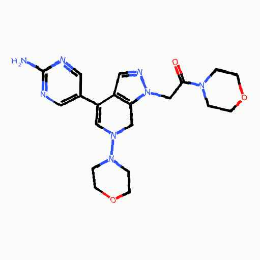 Nc1ncc(C2=CN(N3CCOCC3)Cc3c2cnn3CC(=O)N2CCOCC2)cn1